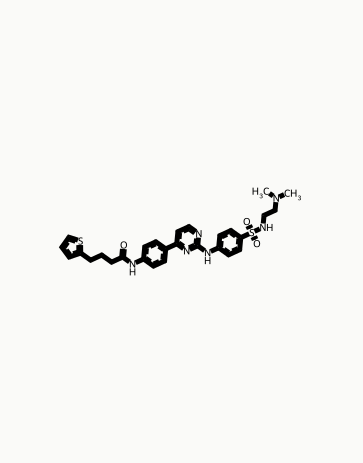 CN(C)CCNS(=O)(=O)c1ccc(Nc2nccc(-c3ccc(NC(=O)CCCc4cccs4)cc3)n2)cc1